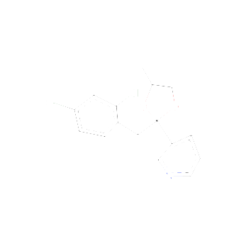 CC1COC(Cc2ccc(Cl)cc2Cl)(c2cccnc2)O1